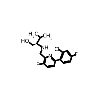 CC(C)[C@H](CO)NCc1nc(-c2ccc(F)cc2Cl)ccc1F